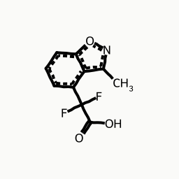 Cc1noc2cccc(C(F)(F)C(=O)O)c12